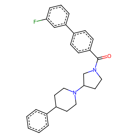 O=C(c1ccc(-c2cccc(F)c2)cc1)N1CCC(N2CCC(c3ccccc3)CC2)C1